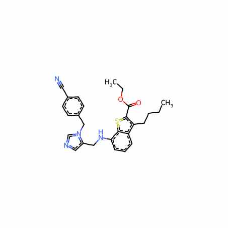 CCCCc1c(C(=O)OCC)sc2c(NCc3cncn3Cc3ccc(C#N)cc3)cccc12